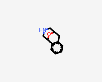 c1ccc2c(c1)CC1CNCC2O1